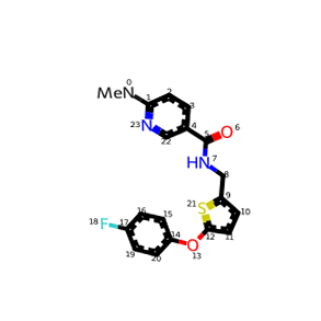 CNc1ccc(C(=O)NCc2ccc(Oc3ccc(F)cc3)s2)cn1